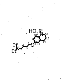 CCN(CC)CCCCOc1ccc2c(c1)CCCN2C(=O)O